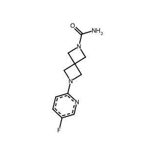 NC(=O)N1CC2(C1)CN(c1ccc(F)cn1)C2